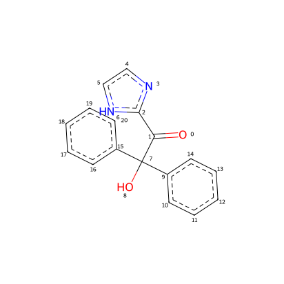 O=C(c1ncc[nH]1)C(O)(c1ccccc1)c1ccccc1